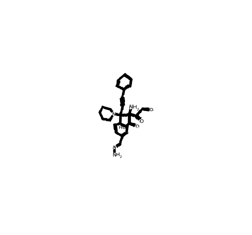 NN=Cc1ccc(C(C#Cc2ccccc2)(N2CCCCC2)C(N)(C(=O)O)C(=O)C=O)cc1